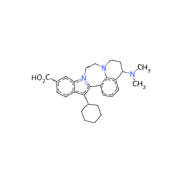 CN(C)C1CCN2CCn3c(c(C4CCCCC4)c4ccc(C(=O)O)cc43)-c3cccc1c32